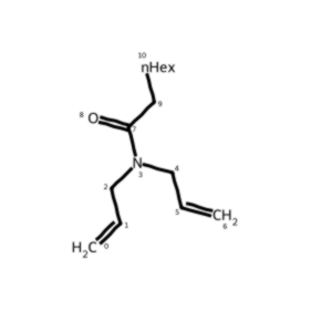 C=CCN(CC=C)C(=O)CCCCCCC